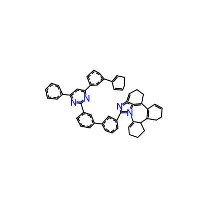 C1=CC(c2cccc(-c3cc(-c4ccccc4)nc(-c4cccc(-c5cccc(-c6nc7c8n6C6=CCCCC6C6=C(C=CCC6)C=8CCC=7)c5)c4)n3)c2)=CCC1